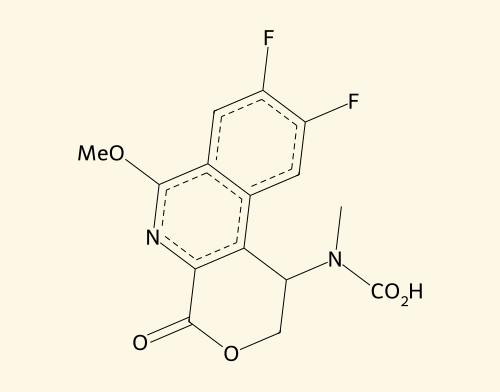 COc1nc2c(c3cc(F)c(F)cc13)C(N(C)C(=O)O)COC2=O